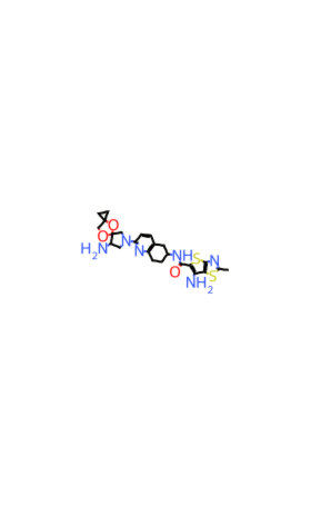 Cc1nc2sc(C(=O)NC3CCc4nc(N5CC(N)C6(C5)OCC5(CC5)O6)ccc4C3)c(N)c2s1